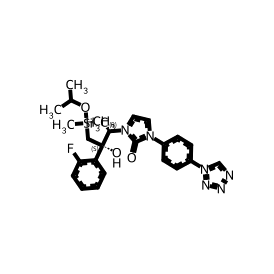 CC(C)O[Si](C)(C)C[C@](O)(c1ccccc1F)[C@@H](C)n1ccn(-c2ccc(-n3cnnn3)cc2)c1=O